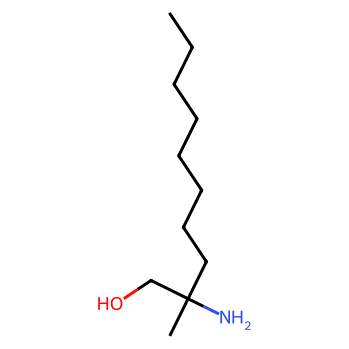 CCCCCCCCC(C)(N)CO